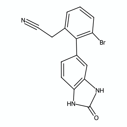 N#CCc1cccc(Br)c1-c1ccc2[nH]c(=O)[nH]c2c1